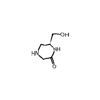 O=C1CNC[C@@H](CO)N1